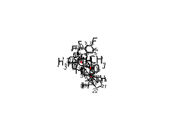 CC(C)(Oc1ccc(F)cc1C(F)(F)F)C(=O)N[C@H]1C[C@H]2CC[C@@H](C1)N2c1ccc(NS(C)(=O)=O)cc1